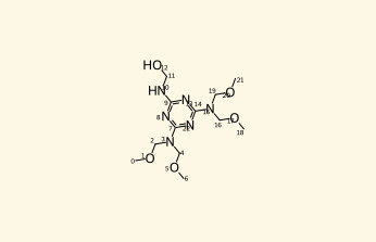 COCN(COC)c1nc(NCO)nc(N(COC)COC)n1